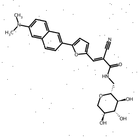 CN(C)c1ccc2cc(-c3ccc(/C=C(\C#N)C(=O)NC[C@H]4OC[C@H](O)[C@@H](O)[C@@H]4O)o3)ccc2c1